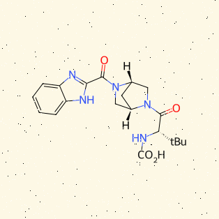 CC(C)(C)[C@H](NC(=O)O)C(=O)N1C[C@@H]2C[C@H]1CN2C(=O)c1nc2ccccc2[nH]1